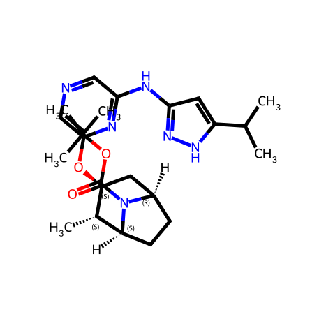 CC(C)c1cc(Nc2cncc(O[C@H]3C[C@H]4CC[C@@H]([C@@H]3C)N4C(=O)OC(C)(C)C)n2)n[nH]1